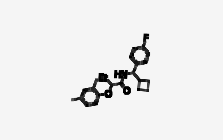 CCC(Oc1ccc(C)cc1C)C(=O)NC(c1ccc(F)cc1)C1CCC1